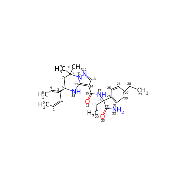 C/C=C\C(=C/C)[C@H]1CC(C)(C)n2ncc(C(=O)NC(CC)(C(N)=O)c3ccc(CC)cc3)c2N1